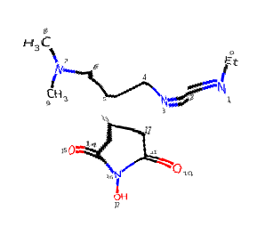 CCN=C=NCCCN(C)C.O=C1CCC(=O)N1O